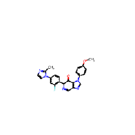 COc1ccc(-n2cnc3c2C(=O)C(c2ccc(-n4ccnc4C)cc2F)N=C3)cc1